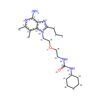 CCCc1nc2c(N)nc(C)c(C)c2n1CCOCCNC(=O)NC1CCCCC1